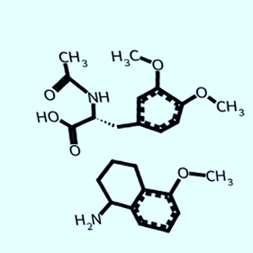 COc1ccc(C[C@@H](NC(C)=O)C(=O)O)cc1OC.COc1cccc2c1CCCC2N